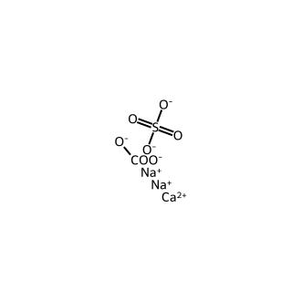 O=C([O-])[O-].O=S(=O)([O-])[O-].[Ca+2].[Na+].[Na+]